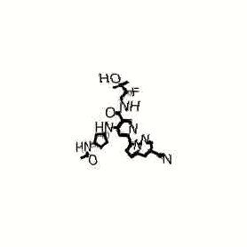 CC(=O)N[C@H]1CC[C@@H](Nc2cc(-c3ccc4cc(C#N)cnn34)ncc2C(=O)NC[C@@H](F)C(C)(C)O)C1